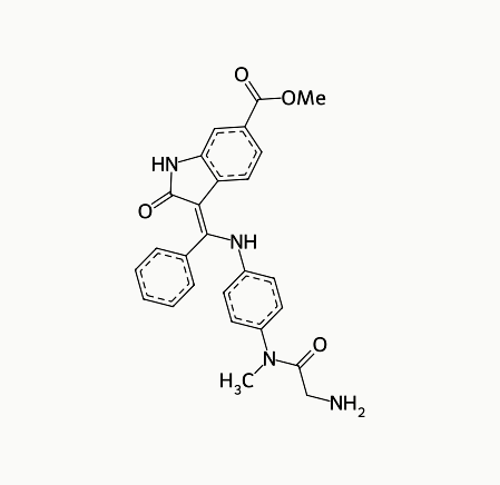 COC(=O)c1ccc2c(c1)NC(=O)C2=C(Nc1ccc(N(C)C(=O)CN)cc1)c1ccccc1